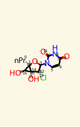 CCC[C@]12OC(n3ccc(=O)[nH]c3=O)[C@H](Cl)[C@@]1(O)C2O